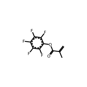 C=C(C)C(=O)Oc1c(F)c(F)c(F)c(F)c1F